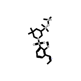 C=Nc1c(/C=C\C)cccc1S(=O)(=O)N1CC([Si](C)(C)O[SiH](C)C)CC(C)(C)C1